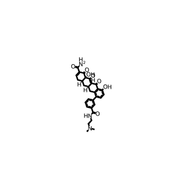 CN(C)CCNC(=O)c1cccc(-c2ccc(O)c3c2C[C@H]2C[C@H]4CC=C(C(N)=O)C(=O)[C@@]4(O)C(O)=C2C3=O)c1